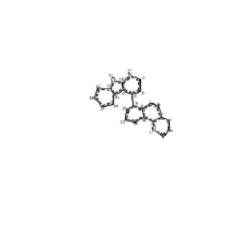 c1cnc2c(c1)ccc1c(-c3ccnc4oc5ccccc5c34)cccc12